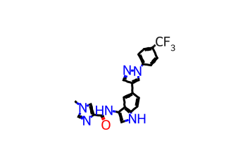 Cn1cnc(C(=O)Nc2c[nH]c3ccc(-c4cnn(-c5ccc(C(F)(F)F)cc5)c4)cc23)c1